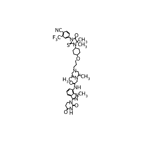 C[C@@H]1CN(CCCOC2CCC(N3C(=S)N(c4ccc(C#N)c(C(F)(F)F)c4)C(=O)C3(C)C)CC2)C[C@H](C)N1CC(=O)Nc1cccc2c(N3CCC(=O)NC3=O)nn(C)c12